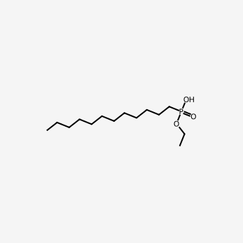 CCCCCCCCCCCCP(=O)(O)OCC